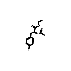 CCOC(=O)[C@H](Cc1ccc(I)cc1)NC(C)=O